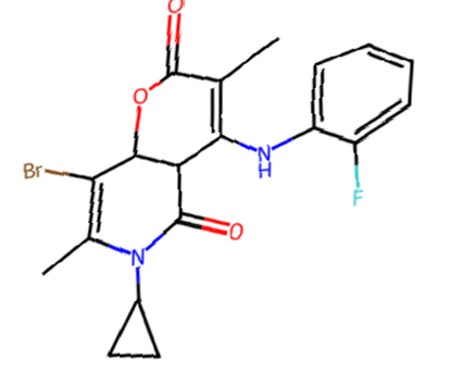 CC1=C(Nc2ccccc2F)C2C(=O)N(C3CC3)C(C)=C(Br)C2OC1=O